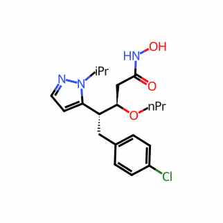 CCCO[C@H](CC(=O)NO)[C@H](Cc1ccc(Cl)cc1)c1ccnn1C(C)C